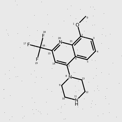 COc1cccc2c(N3CCNCC3)cc(C(F)(F)F)nc12